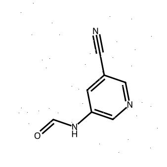 N#Cc1cncc(NC=O)c1